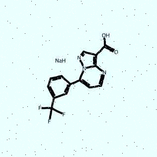 O=C(O)c1cnn2c(-c3cccc(C(F)(F)F)c3)ccnc12.[NaH]